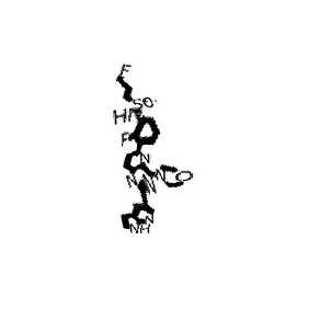 [O-][S+](CCCF)Nc1cccc(-c2ccc3nc(-c4cnc5[nH]ccc5c4)nc(N4CCOCC4)c3n2)c1F